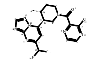 C[C@@H]1CCN(C(=O)c2nccnc2Cl)C[C@H]1c1cc(C(F)F)nc2ncnn12